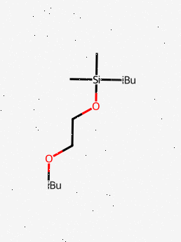 CCC(C)OCCO[Si](C)(C)C(C)CC